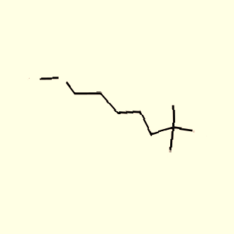 CC(=O)SCCCCCC(F)(F)C(F)(F)F